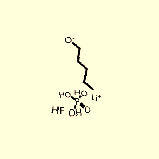 CCCCC[O-].F.O=P(O)(O)O.[Li+]